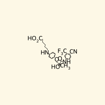 C[C@@](O)(COc1ccc(NCCCCCC(=O)O)cc1)C(=O)Nc1ccc(C#N)c(C(F)(F)F)c1